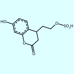 O=C1CC(CCOS(=O)(=O)O)c2ccc(O)cc2O1